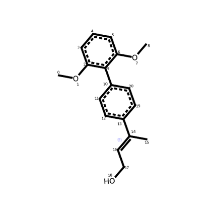 COc1cccc(OC)c1-c1ccc(/C(C)=C/CO)cc1